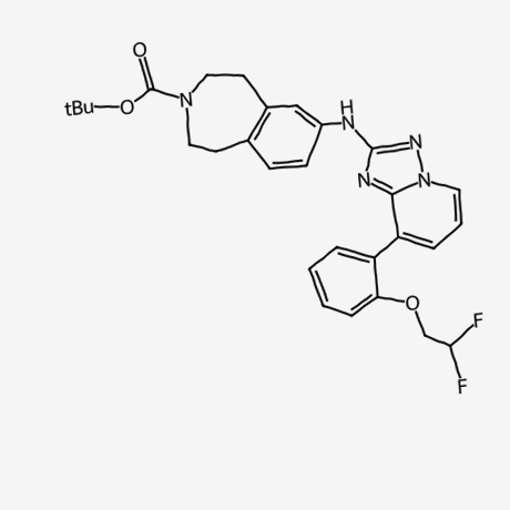 CC(C)(C)OC(=O)N1CCc2ccc(Nc3nc4c(-c5ccccc5OCC(F)F)cccn4n3)cc2CC1